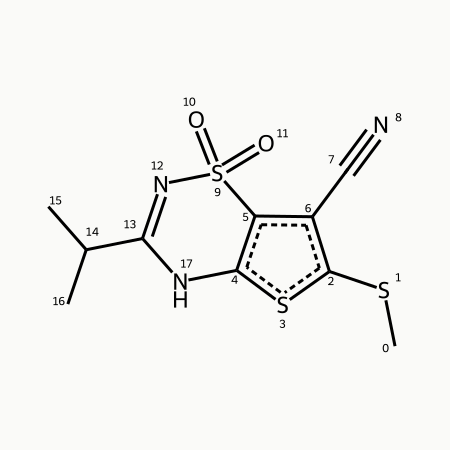 CSc1sc2c(c1C#N)S(=O)(=O)N=C(C(C)C)N2